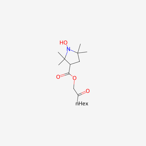 CCCCCCC(=O)COC(=O)C1CC(C)(C)N(O)C1(C)C